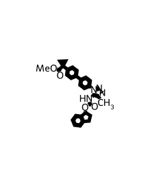 COC(=O)C1(c2ccc(-c3ccc(-n4nnc(C)c4NC(=O)OC4CCc5ccccc54)cc3)cc2)CC1